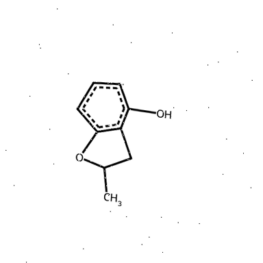 CC1Cc2c(O)[c]ccc2O1